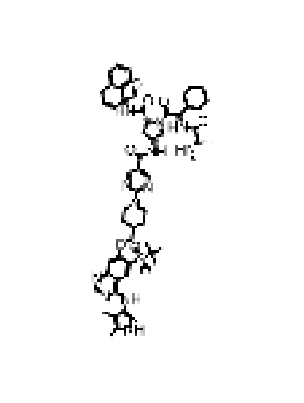 CN[C@@H](C)C(=O)N[C@H](C(=O)N1C[C@@H](NC(=O)c2cnc(N3CCC(COc4cc5ncnc(Nc6n[nH]c(C)c6C)c5cc4S(=O)(=O)C(C)(C)C)CC3)nc2)C[C@H]1C(=O)N[C@]1(C=O)C=CCc2ccccc21)C1CCCCC1